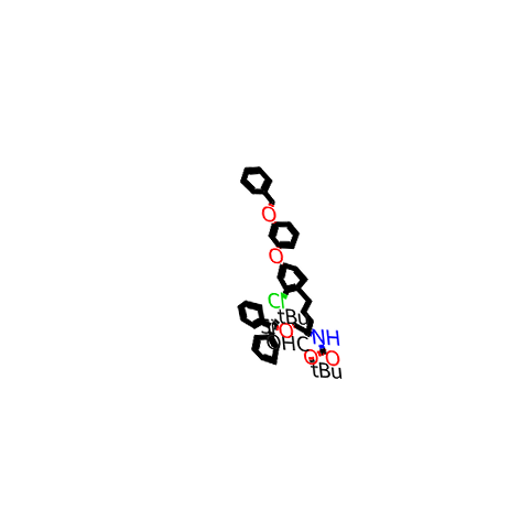 CC(C)(C)OC(=O)NC(C=O)(CCCc1ccc(Oc2cccc(OCc3ccccc3)c2)cc1Cl)CO[Si](c1ccccc1)(c1ccccc1)C(C)(C)C